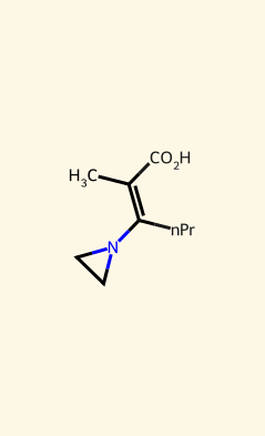 CCCC(=C(C)C(=O)O)N1CC1